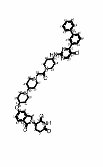 O=C1CCC(N2Cc3cc(OC4CCN(C5CCN(CC(=O)N6CCC(Nc7ncc(Cl)c(-c8cccc(-c9ccccc9)c8)n7)CC6)CC5)CC4)ccc3C2=O)C(=O)N1